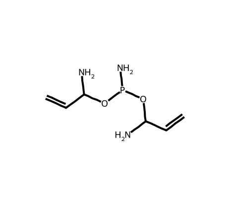 C=CC(N)OP(N)OC(N)C=C